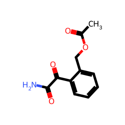 CC(=O)OCc1ccccc1C(=O)C(N)=O